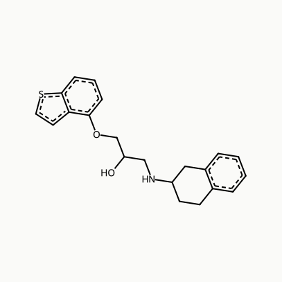 OC(CNC1CCc2ccccc2C1)COc1cccc2sccc12